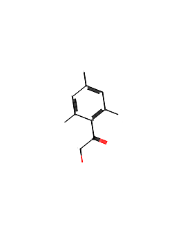 Cc1cc(C)c(C(=O)C[O])c(C)c1